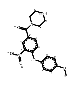 COc1ccc(Oc2ccc(C(=O)N3CCNCC3)cc2[N+](=O)[O-])cc1